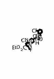 CCOC(=O)c1cc(C#N)c(N2CCC(C(=O)NS(=O)(=O)Cc3cccc(Cl)c3)CC2)nc1CF